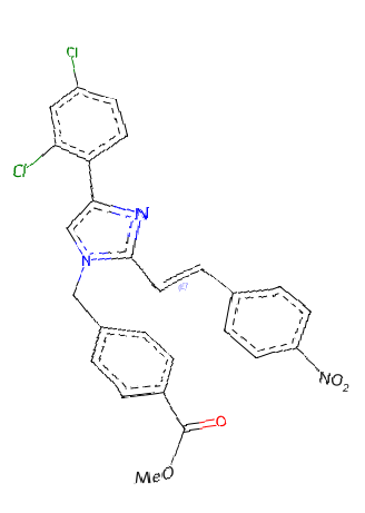 COC(=O)c1ccc(Cn2cc(-c3ccc(Cl)cc3Cl)nc2/C=C/c2ccc([N+](=O)[O-])cc2)cc1